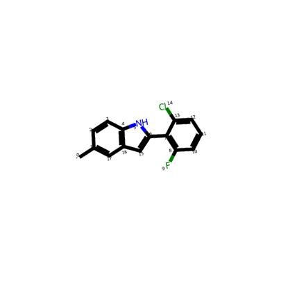 [CH2]c1ccc2[nH]c(-c3c(F)cccc3Cl)cc2c1